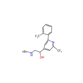 CCCCNCC(O)c1cc(-c2ccccc2C(F)(F)F)nc(C(F)(F)F)c1